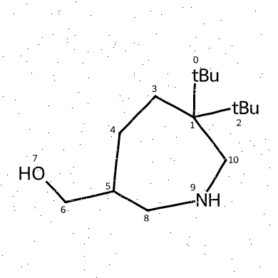 CC(C)(C)C1(C(C)(C)C)CCC(CO)CNC1